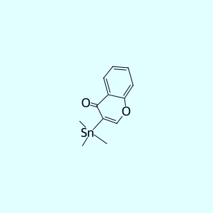 [CH3][Sn]([CH3])([CH3])[c]1coc2ccccc2c1=O